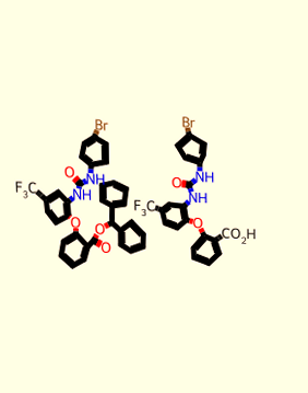 O=C(Nc1ccc(Br)cc1)Nc1cc(C(F)(F)F)ccc1Oc1ccccc1C(=O)O.O=C(Nc1ccc(Br)cc1)Nc1cc(C(F)(F)F)ccc1Oc1ccccc1C(=O)OC(c1ccccc1)c1ccccc1